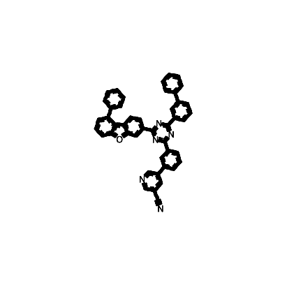 N#Cc1cncc(-c2cccc(-c3nc(-c4cccc(-c5ccccc5)c4)nc(-c4ccc5c(c4)oc4cccc(-c6ccccc6)c45)n3)c2)c1